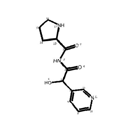 O=C(NC(=O)C(O)c1cccnc1)C1CCCN1